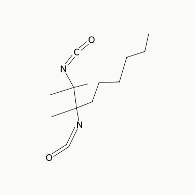 CCCCCCC(C)(N=C=O)C(C)(C)N=C=O